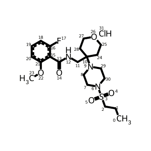 CCCS(=O)(=O)N1CCN(C2(CNC(=O)c3c(F)cccc3OC)CCOCC2)CC1.Cl